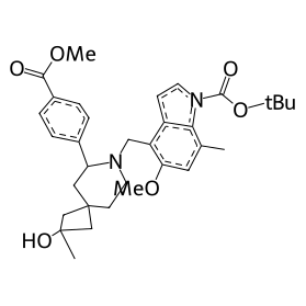 COC(=O)c1ccc(C2CC3(CCN2Cc2c(OC)cc(C)c4c2ccn4C(=O)OC(C)(C)C)CC(C)(O)C3)cc1